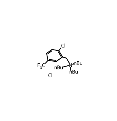 CCCC[N+](CCCC)(CCCC)Cc1cc(C(F)(F)F)ccc1Cl.[Cl-]